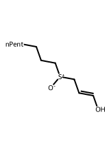 CCCCCCCC[S+]([O-])CC=CO